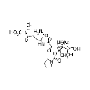 CC(=O)N[C@@H](C(=O)C(=O)NC(CCC(=O)N(C)C(=O)O)C(N)=O)[C@@](C)(OC(=O)N1CCCC1)[C@H](O)[C@H](O)CO